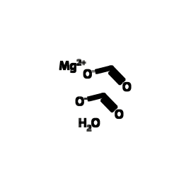 O.O=C[O-].O=C[O-].[Mg+2]